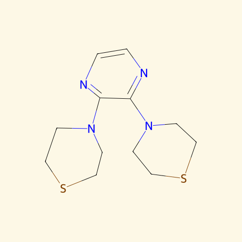 c1cnc(N2CCSCC2)c(N2CCSCC2)n1